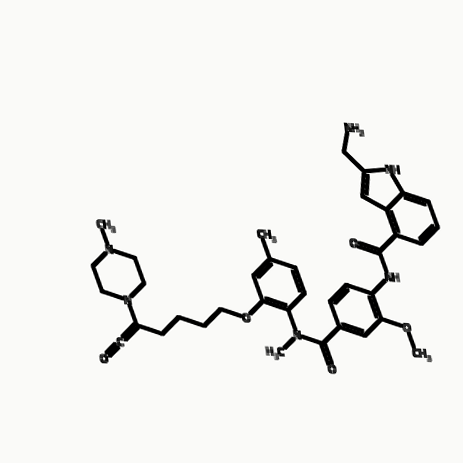 COc1cc(C(=O)N(C)c2ccc(C)cc2OCCCCC(=C=O)N2CCN(C)CC2)ccc1NC(=O)c1cccc2[nH]c(CN)cc12